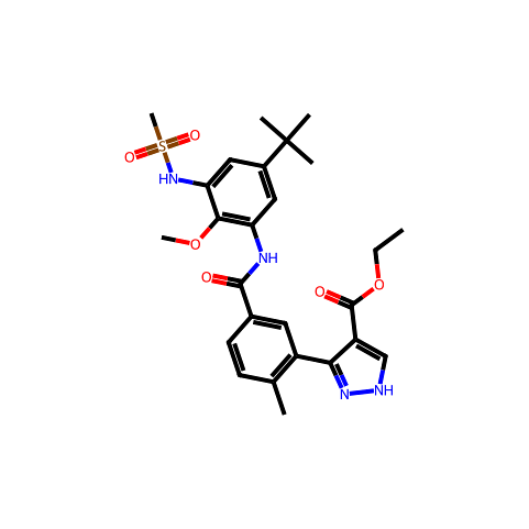 CCOC(=O)c1c[nH]nc1-c1cc(C(=O)Nc2cc(C(C)(C)C)cc(NS(C)(=O)=O)c2OC)ccc1C